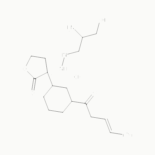 CCCCC=CCC(=O)C1CCCC([C@]2(NNCC(N)CS)CCOC2=O)[C@@H]1C